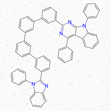 c1ccc(-c2nc(-c3cccc(-c4cccc(-c5cccc(-c6cccc(-c7nc8ccccc8n7-c7ccccc7)c6)c5)c4)c3)nc3c2c2ccccc2n3-c2ccccc2)cc1